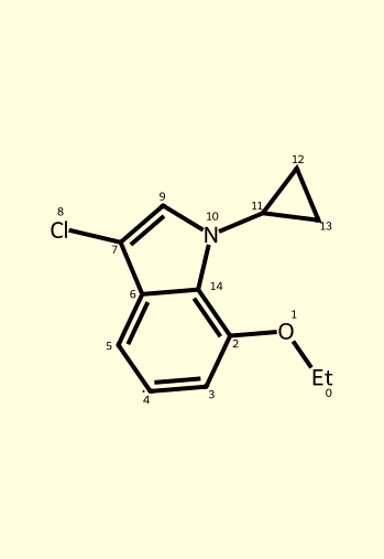 CCOc1c[c]cc2c(Cl)cn(C3CC3)c12